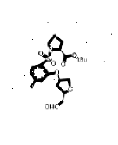 Cc1ccc(S(=O)(=O)N2CCC[C@H]2C(=O)OC(C)(C)C)c(O[C@H]2CO[C@@H](CC=O)C2)c1